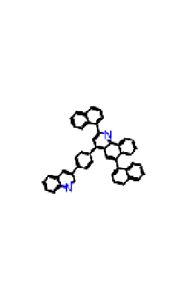 c1ccc2ncc(-c3ccc(-c4cc(-c5cccc6ccccc56)nc5c4cc(-c4cccc6ccccc46)c4ccccc45)cc3)cc2c1